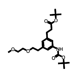 COCCOCCc1cc(CCC(=O)OC(C)(C)C)cc(NC(=O)OC(C)(C)C)c1